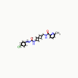 Cc1cccc(C(=O)NCC2CC3(C2)CC(NC(=O)NCc2ccc(Cl)cc2)C3)n1